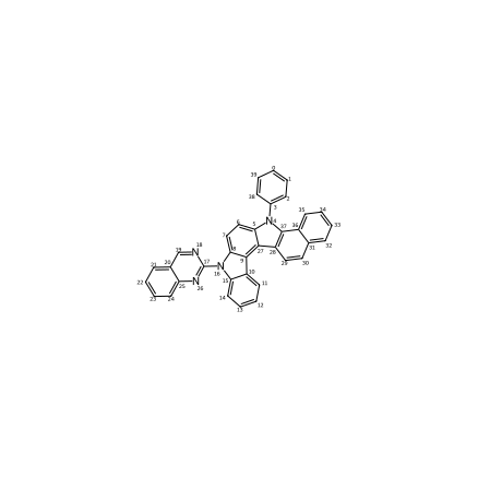 c1ccc(-n2c3ccc4c(c5ccccc5n4-c4ncc5ccccc5n4)c3c3ccc4ccccc4c32)cc1